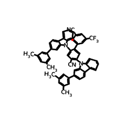 Cc1cc(C)cc(-c2ccc3c4ccccc4n(-c4cc(-c5cc(C#N)cc(C(F)(F)F)c5)c(-n5c6ccccc6c6ccc(-c7cc(C)cc(C)c7)cc65)cc4C#N)c3c2)c1